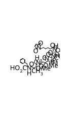 CC[C@H](C)[C@@H]([C@@H](CC(=O)N1CCCC1[C@H](OC)[C@@H](C)C(=O)NC(Cc1ccccc1)C(=O)O)OC)N(C)C(=O)C(NC(=O)[C@@H]1[C@H]2CC[C@H](C2)N1C(=O)CCCCCN1C(=O)C=CC1=O)C(C)C